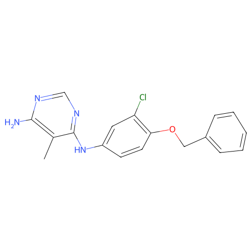 Cc1c(N)ncnc1Nc1ccc(OCc2ccccc2)c(Cl)c1